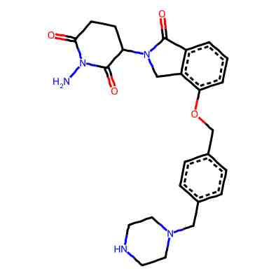 NN1C(=O)CCC(N2Cc3c(OCc4ccc(CN5CCNCC5)cc4)cccc3C2=O)C1=O